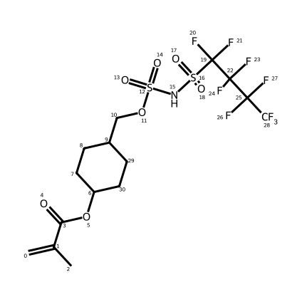 C=C(C)C(=O)OC1CCC(COS(=O)(=O)NS(=O)(=O)C(F)(F)C(F)(F)C(F)(F)C(F)(F)F)CC1